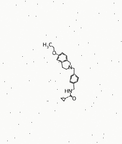 CCOc1ccc2c(c1)CCN(Cc1ccc(CNC(=O)C3CC3)cc1)C2